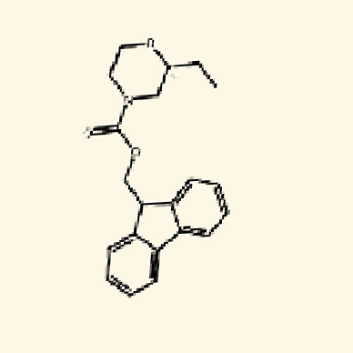 CC[C@H]1CN(C(=O)OCC2c3ccccc3-c3ccccc32)CCO1